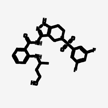 CC(CCO)Nc1ccccc1C(=O)Nc1n[nH]c2c1CN(S(=O)(=O)c1cc(F)cc(F)c1)CC2